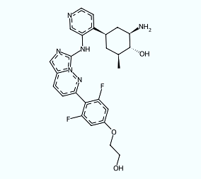 C[C@H]1C[C@@H](c2ccncc2Nc2ncc3ccc(-c4c(F)cc(OCCO)cc4F)nn23)C[C@@H](N)[C@@H]1O